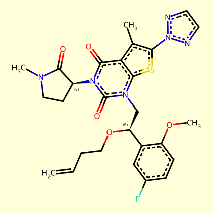 C=CCCO[C@@H](Cn1c(=O)n([C@H]2CCN(C)C2=O)c(=O)c2c(C)c(-n3nccn3)sc21)c1cc(F)ccc1OC